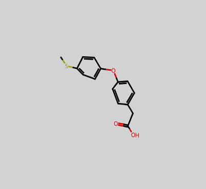 CSc1ccc(Oc2ccc(CC(=O)O)cc2)cc1